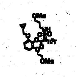 CCCN(C(=O)Oc1c(OCCOC)cccc1OCC1CC1)S(=O)(=O)NCCCOC